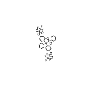 O=S(=O)(Oc1ccc2c(c1)OC1(c3ccccc3)Oc3cc(OS(=O)(=O)C(F)(F)F)ccc3C21c1ccccc1)C(F)(F)F